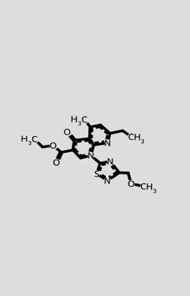 CCOC(=O)c1cn(-c2nc(COC)ns2)c2nc(CC)cc(C)c2c1=O